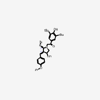 CCCC1CN(CC(=O)c2cc(C(C)(C)C)c(O)c(C(C)(C)C)c2)C(=N\Br)/C1=C/c1ccc(OC(C)C)cc1